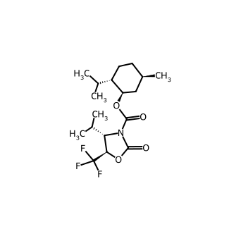 CC(C)[C@@H]1CC[C@@H](C)C[C@H]1OC(=O)N1C(=O)O[C@@H](C(F)(F)F)[C@@H]1C(C)C